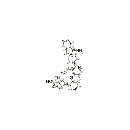 CC(C)(O)C1CN(c2nccc(Sc3cnc(N4CCC5(CC4)Cc4ccccc4[C@H]5N)c(CO)n3)c2Cl)C1